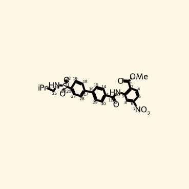 COC(=O)c1ccc([N+](=O)[O-])cc1NC(=O)c1ccc(-c2ccc(S(=O)(=O)NCC(C)C)cc2)cc1